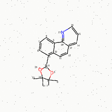 CC1(C)OB(c2cccc3c2ccc2cccnc23)OC1(C)C